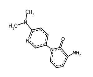 CN(C)c1ccc(-n2cccc(N)c2=O)cn1